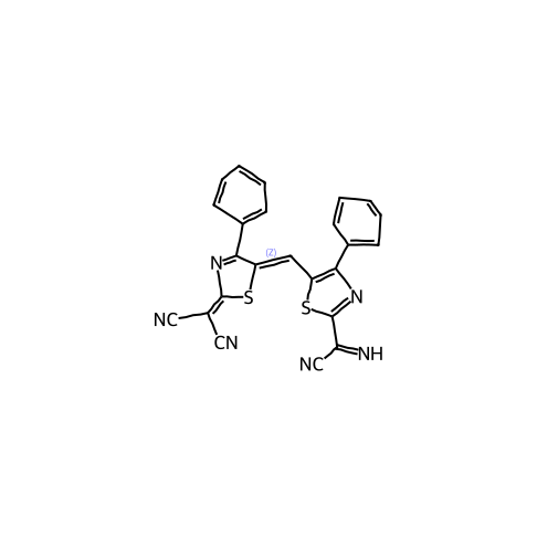 N#CC(=N)c1nc(-c2ccccc2)c(/C=c2\sc(=C(C#N)C#N)nc2-c2ccccc2)s1